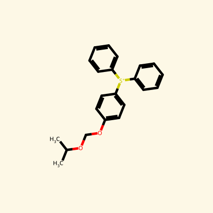 CC(C)OCOc1ccc([S+](c2ccccc2)c2ccccc2)cc1